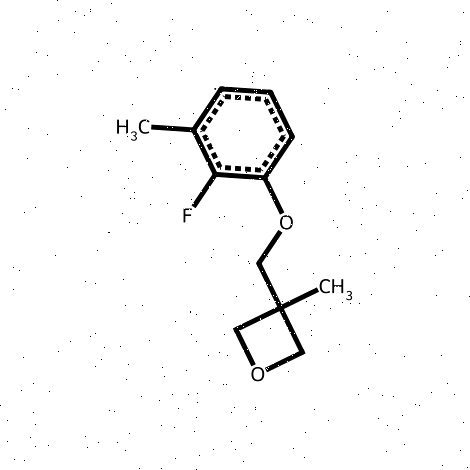 Cc1[c]ccc(OCC2(C)COC2)c1F